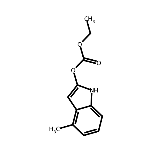 CCOC(=O)Oc1cc2c(C)cccc2[nH]1